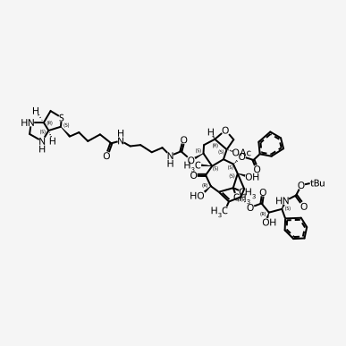 CC(=O)O[C@@]12CO[C@@H]1C[C@H](OC(=O)NCCCCNC(=O)CCCC[C@@H]1SC[C@@H]3NCN[C@@H]31)[C@@]1(C)C(=O)[C@H](O)C3=C(C)[C@@H](OC(=O)[C@H](O)[C@@H](NC(=O)OC(C)(C)C)c4ccccc4)C[C@@](O)([C@@H](OC(=O)c4ccccc4)C12)C3(C)C